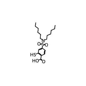 CCCCCCN(CCCCCC)S(=O)(=O)c1ccc(C(=O)O)c(S)c1